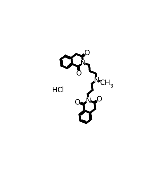 CN(CCCN1C(=O)Cc2ccccc2C1=O)CCCN1C(=O)Cc2ccccc2C1=O.Cl